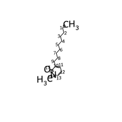 CCCCCCCCCCc1cccn(C)c1=O